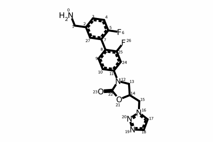 NCc1ccc(F)c(-c2ccc(N3CC(Cn4ccnn4)OC3=O)cc2F)c1